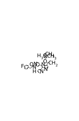 C=Cc1ccnc2c(-c3ccccn3)c(-c3ccnc(NC(=O)Cc4ccc(F)cc4)c3)n(COCC[Si](C)(C)C)c12